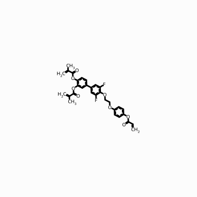 C=CC(=O)Oc1ccc(OCCOc2c(F)cc(-c3ccc(OC(=O)C(=C)C)c(OC(=O)C(=C)C)c3)cc2F)cc1